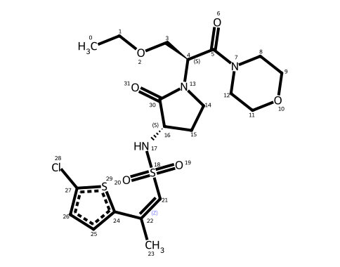 CCOC[C@@H](C(=O)N1CCOCC1)N1CC[C@H](NS(=O)(=O)/C=C(/C)c2ccc(Cl)s2)C1=O